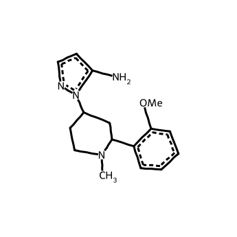 COc1ccccc1C1CC(n2nccc2N)CCN1C